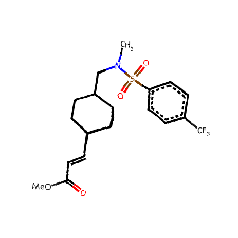 COC(=O)C=CC1CCC(CN(C)S(=O)(=O)c2ccc(C(F)(F)F)cc2)CC1